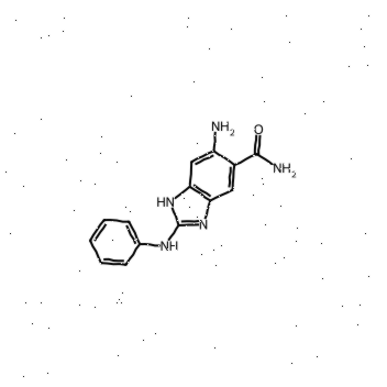 NC(=O)c1cc2nc(Nc3ccccc3)[nH]c2cc1N